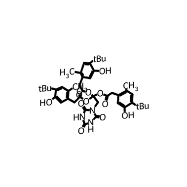 Cc1cc(C(C)(C)C)c(O)cc1CC(=O)OC(Cn1c(=O)[nH]c(=O)[nH]c1=O)(OC(=O)Cc1cc(O)c(C(C)(C)C)cc1C)OC(=O)Cc1cc(O)c(C(C)(C)C)cc1C